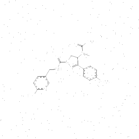 COC(=O)N(C)C1CN(C(=O)NCc2ccc(C(F)(F)F)nc2)N=C1c1ccc(OC)cc1